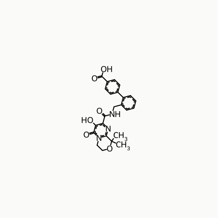 CC1(C)OCCn2c1nc(C(=O)NCc1ccccc1-c1ccc(C(=O)O)cc1)c(O)c2=O